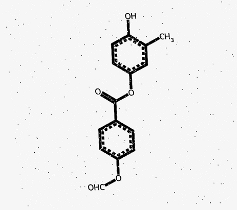 Cc1cc(OC(=O)c2ccc(OC=O)cc2)ccc1O